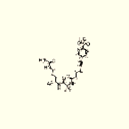 CC(=O)[C@H](CCCNC(N)=O)NC(=O)C(NC(=O)CCCC#Cc1cnc(S(C)(=O)=O)nc1)C(C)C